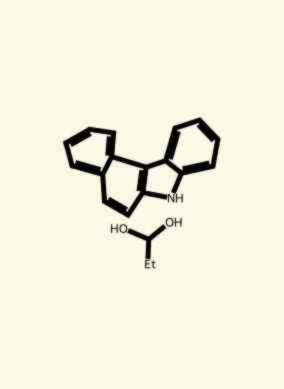 CCC(O)O.c1ccc2c(c1)ccc1[nH]c3ccccc3c12